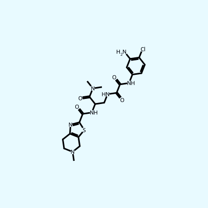 CN1CCc2nc(C(=O)NC(CNC(=O)C(=O)Nc3ccc(Cl)c(N)c3)C(=O)N(C)C)sc2C1